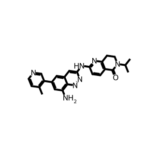 Cc1ccncc1-c1cc(N)c2nnc(Nc3ccc4c(n3)CCN(C(C)C)C4=O)cc2c1